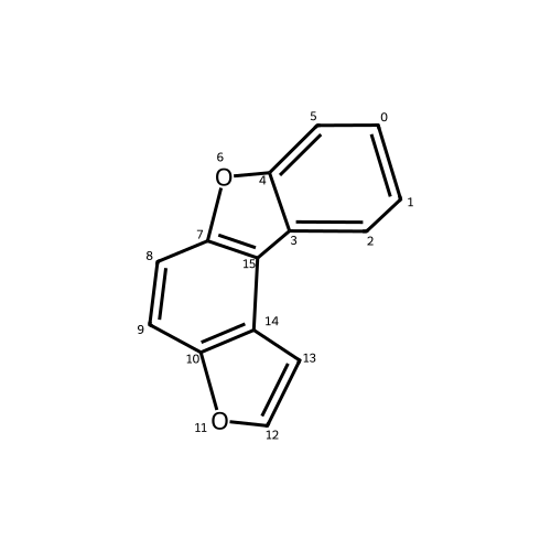 c1ccc2c(c1)oc1ccc3occc3c12